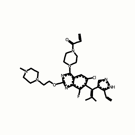 C=CC(=O)N1CCN(c2nc(OCCN3CCN(C)CC3)nc3c(F)c(C(=C(C)C)c4cn[nH]c4C=C)c(Cl)cc23)CC1